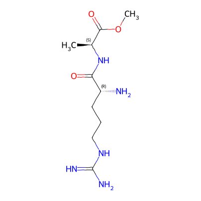 COC(=O)[C@H](C)NC(=O)[C@H](N)CCCNC(=N)N